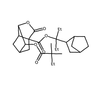 CCC(C)(C)C(=O)OC1C2CC3C1OC(=O)C3(C(=O)OC(CC)(CC)C1CC3CCC1C3)C2